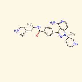 CC(/C=C\N)=C/C(C)NC(=O)c1ccc(-c2nn([C@]3(C)CCCNC3)c3ccnc(N)c23)cc1